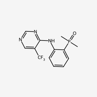 CP(C)(=O)c1ccccc1Nc1ncncc1C(F)(F)F